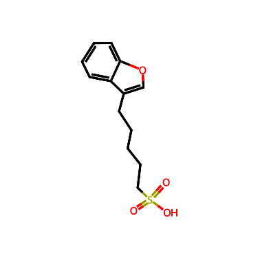 O=S(=O)(O)CCCCCc1coc2ccccc12